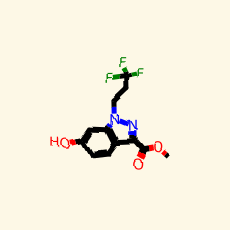 COC(=O)c1nn(CCC(F)(F)F)c2cc(O)ccc12